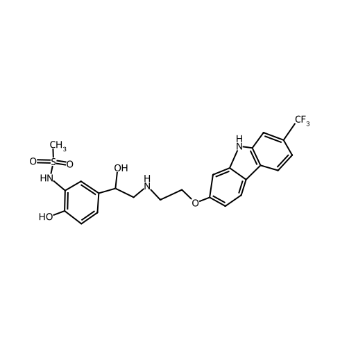 CS(=O)(=O)Nc1cc(C(O)CNCCOc2ccc3c(c2)[nH]c2cc(C(F)(F)F)ccc23)ccc1O